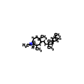 CC1CC(CCC(C)(C)CC2CC3(C)CC23)[C@@H](C)CCC2[C@@H]1N2C